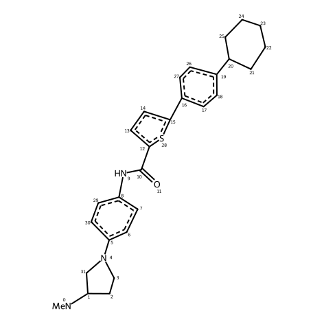 CNC1CCN(c2ccc(NC(=O)c3ccc(-c4ccc(C5CCCCC5)cc4)s3)cc2)C1